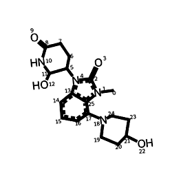 Cn1c(=O)n(C2CCC(=O)NC2O)c2cccc(N3CCC(O)CC3)c21